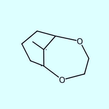 C[C]1[C]2CCCC1OCCO2